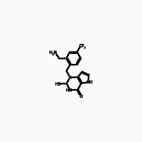 NCc1cc(C(F)(F)F)ccc1CN1c2cc[nH]c2C(=O)NC1S